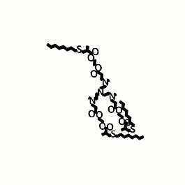 CCCCCCCCSCC(C)C(=O)OCCOC(=O)CCN(C)CCN(CCN(C)CCC(=O)OCCOC(=O)C(C)CSCCCCCCCC)CCN(C)CCC(=O)OCCOC(=O)C(C)CSCCCCCCCC